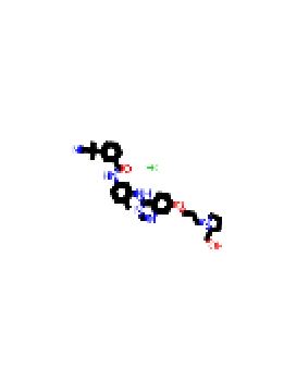 Cc1ccc(NC(=O)c2cccc(C(C)(C)C#N)c2)cc1Nc1ncnc2cc(OCCCN3CCCC3CO)ccc12.Cl